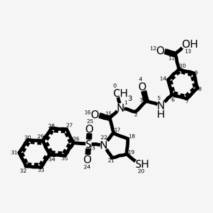 CN(CC(=O)Nc1cccc(C(=O)O)c1)C(=O)C1CC(S)CN1S(=O)(=O)c1ccc2ccccc2c1